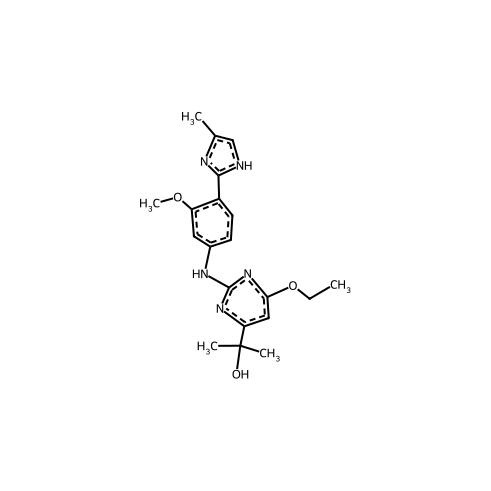 CCOc1cc(C(C)(C)O)nc(Nc2ccc(-c3nc(C)c[nH]3)c(OC)c2)n1